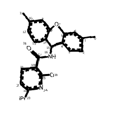 Cc1ccc2c(c1)Oc1cc(C)ccc1C2NC(=O)c1ccc(C(C)C)nc1Cl